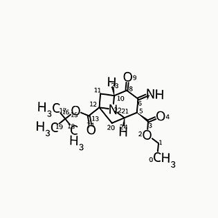 CCOC(=O)[C@@H]1C(=N)C(=O)[C@H]2CC3(C(=O)OC(C)(C)C)C[C@@H]1N23